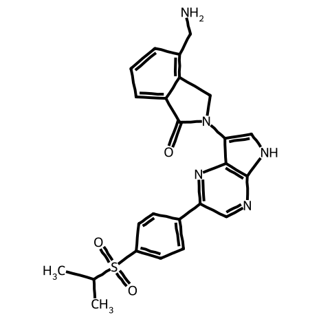 CC(C)S(=O)(=O)c1ccc(-c2cnc3[nH]cc(N4Cc5c(CN)cccc5C4=O)c3n2)cc1